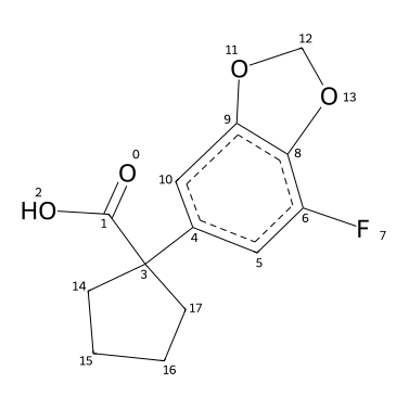 O=C(O)C1(c2cc(F)c3c(c2)OCO3)CCCC1